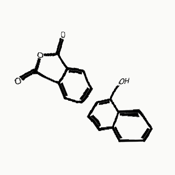 O=C1OC(=O)c2ccccc21.Oc1cccc2ccccc12